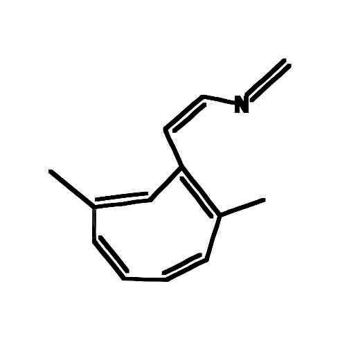 C=N/C=C\C1=C(C)\C=C/C=C\C(C)=C\1